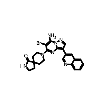 Nc1c(Br)c(N2CCC3(CCNC3=O)CC2)nc2c(-c3cnc4ccccc4c3)cnn12